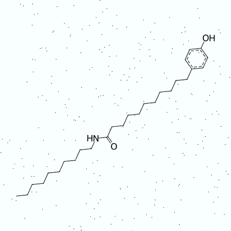 CCCCCCCCCCNC(=O)CCCCCCCCCCc1ccc(O)cc1